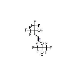 OC(C/C=C/OC(O)(C(F)(F)F)C(F)(F)F)(C(F)(F)F)C(F)(F)F